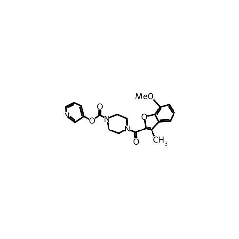 COc1cccc2c(C)c(C(=O)N3CCN(C(=O)Oc4cccnc4)CC3)oc12